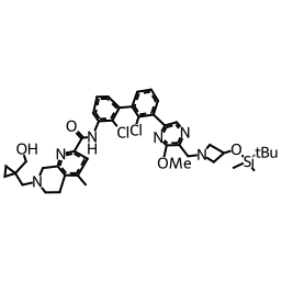 COc1nc(-c2cccc(-c3cccc(NC(=O)c4cc(C)c5c(n4)CN(CC4(CO)CC4)CC5)c3Cl)c2Cl)cnc1CN1CC(O[Si](C)(C)C(C)(C)C)C1